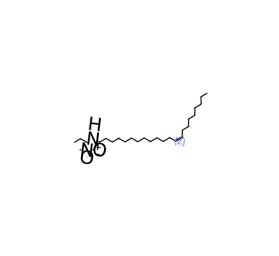 CCCCCCCC/C=C\CCCCCCCCCCCC(=O)NC(CC)[N+](C)(C)[O-]